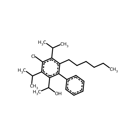 CCCCCCc1c(-c2ccccc2)c(C(C)O)c(C(C)C)c(Cl)c1C(C)C